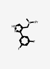 CCCN(C)Cc1c[nH]nc1-c1cc(F)cc(F)c1